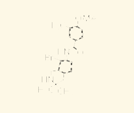 COc1ccc(C(=O)Nc2ccc3c(c2Br)CNC(C)(C)C3)cc1C(F)(F)F